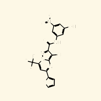 O=C(Nc1cc(O)cc([N+](=O)[O-])c1)c1nn2c(C(F)(F)F)cc(-c3cccs3)nc2c1Cl